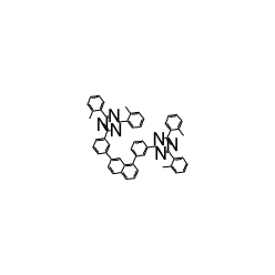 Cc1ccccc1-c1nc(-c2cccc(-c3ccc4cccc(-c5cccc(-c6nc(-c7ccccc7C)nc(-c7ccccc7C)n6)c5)c4c3)c2)nc(-c2ccccc2C)n1